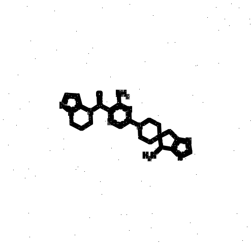 Nc1nc(N2CCC3(CC2)Cc2ncsc2C3N)cnc1C(=O)N1CCCn2nccc21